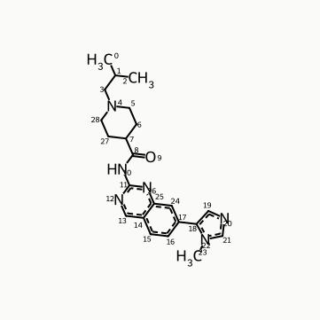 CC(C)CN1CCC(C(=O)Nc2ncc3ccc(-c4cncn4C)cc3n2)CC1